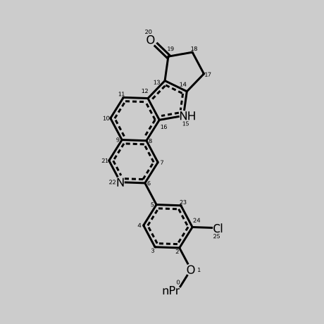 CCCOc1ccc(-c2cc3c(ccc4c5c([nH]c43)CCC5=O)cn2)cc1Cl